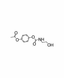 CC(=O)Oc1ccc(OC(=O)NCCO)cc1